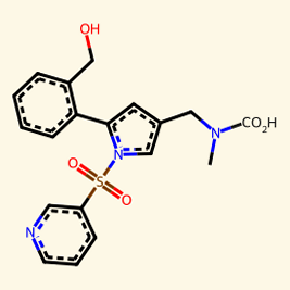 CN(Cc1cc(-c2ccccc2CO)n(S(=O)(=O)c2cccnc2)c1)C(=O)O